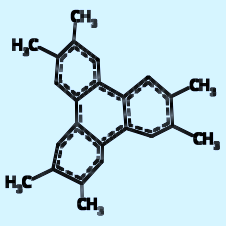 Cc1cc2c3cc(C)c(C)cc3c3cc(C)c(C)cc3c2cc1C